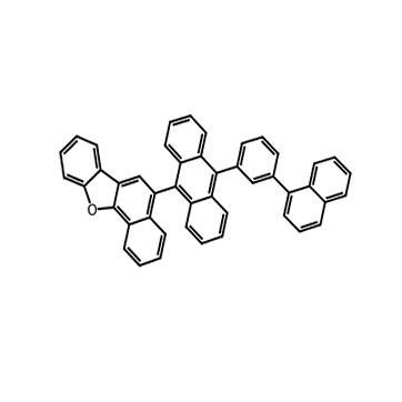 c1cc(-c2cccc3ccccc23)cc(-c2c3ccccc3c(-c3cc4c5ccccc5oc4c4ccccc34)c3ccccc23)c1